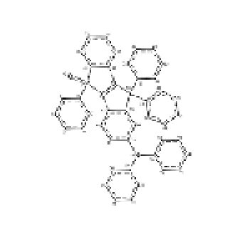 O=P1(c2ccccc2)C2=C(c3ccccc31)C(c1ccccc1)(c1ccccc1)c1cc(N(c3ccccc3)c3ccccc3)ccc12